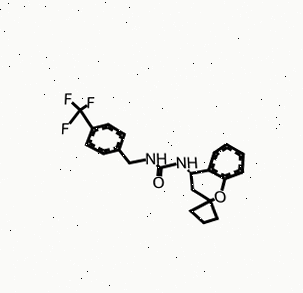 O=C(NCc1ccc(C(F)(F)F)cc1)N[C@H]1CC2(CCC2)Oc2ccccc21